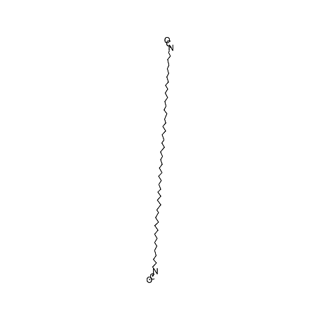 O=C=NCCCCCCCCCCCCCCCCCCCCCCCCCCCCCCCCCCCCCCCCCCCCCCCCCCCCCN=C=O